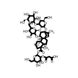 C=C1C[C@@]23CC[C@H]4[C@@](C)(CCC[C@@]4(C)C(=O)O[C@@H]4OC(CO)[C@@H](O)C(O)C4OC(=O)CC(=O)O)[C@@H]2CC[C@]1(O[C@@H]1O[C@H](CO)C(O)C(OC2O[C@H](CO)C(O)C(O)[C@H]2O)[C@H]1O[C@@H]1OC(CO)[C@@H](O)C(O)C1O)C3